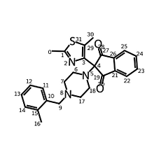 Cc1nc(C2(N3CCN(Cc4ccccc4C)CC3)C(=O)c3ccccc3C2=O)c(C)s1